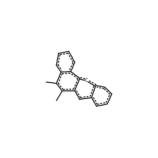 Cc1c(C)c2cc3ccccc3cc2c2ccccc12